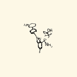 NC(=O)c1cc(F)cc2cn(-c3ccc(C4CCCNC4)cc3)nc12.O=C(O)C(F)(F)F